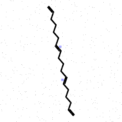 C=CCCC/C=C/CCC/C=C/CCCCC=C